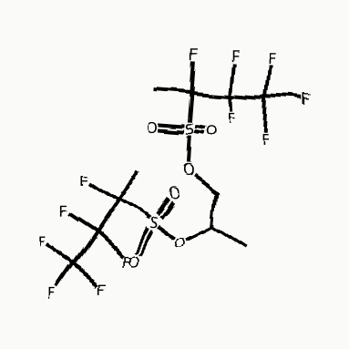 CC(COS(=O)(=O)C(C)(F)C(F)(F)C(F)(F)F)OS(=O)(=O)C(C)(F)C(F)(F)C(F)(F)F